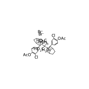 CC(=O)Oc1ccc(C[N+]2(C)C3CCC2CC(C(CC(=O)O)(C(=O)O)C2CC4CCC(C2)[N+]4(C)Cc2ccc(OC(C)=O)c(Cl)c2)C3)cc1Cl.[Br-].[Br-]